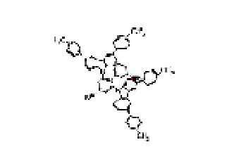 Cc1ccc(-c2ccc3c(c2)c2cc(-c4ccc(C)cc4)ccc2n3-c2cc(C#N)cc(-n3c4ccc(-c5ccc(C)cc5)cc4c4cc(-c5ccc(C)cc5)ccc43)c2-c2cccc(C#N)c2)cc1